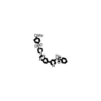 COc1ccc(S(=O)(=O)N2CCN(c3cnc4ccc(-c5cncc(NS(=O)(=O)c6ccccc6)c5)cc4n3)CC2)cc1